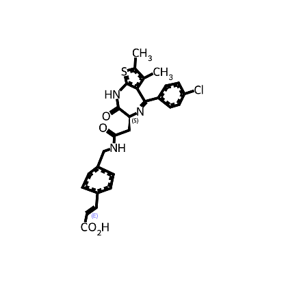 Cc1sc2c(c1C)C(c1ccc(Cl)cc1)=N[C@@H](CC(=O)NCc1ccc(/C=C/C(=O)O)cc1)C(=O)N2